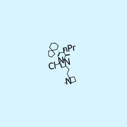 C=C(c1nc(Cl)cc(CCC2CCCN2C)n1)C(CCC)C(=C)[C@H]1CCCCC12CCCC2